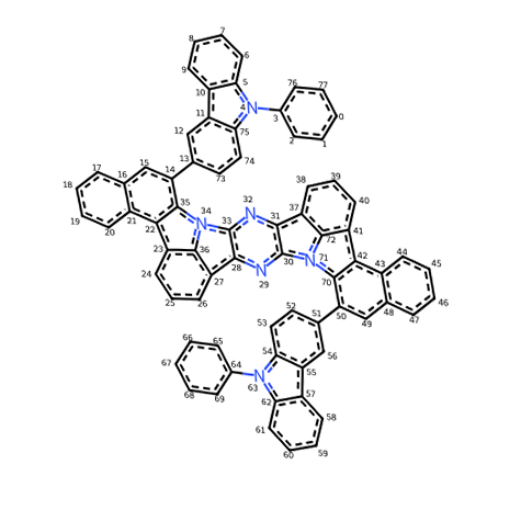 c1ccc(-n2c3ccccc3c3cc(-c4cc5ccccc5c5c6cccc7c8nc9c(nc8n(c45)c76)c4cccc5c6c7ccccc7cc(-c7ccc8c(c7)c7ccccc7n8-c7ccccc7)c6n9c45)ccc32)cc1